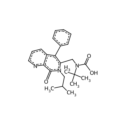 CC(C)Cn1c(CN(C(=O)O)C(C)(C)C)c(-c2ccccc2)c2cccnc2c1=O